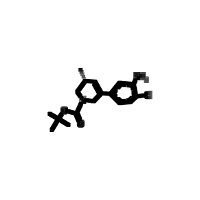 C[C@@H]1C=C(c2ccc(Cl)c(N)c2)CN(C(=O)OC(C)(C)C)C1